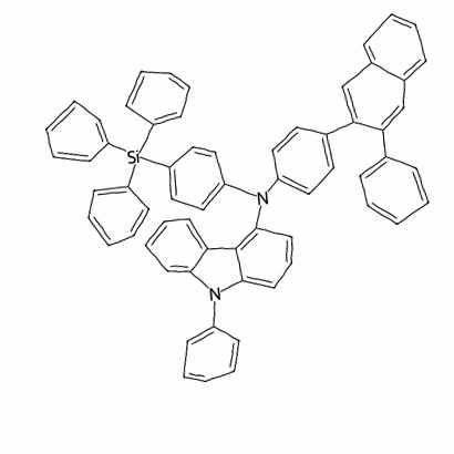 c1ccc(-c2cc3ccccc3cc2-c2ccc(N(c3ccc([Si](c4ccccc4)(c4ccccc4)c4ccccc4)cc3)c3cccc4c3c3ccccc3n4-c3ccccc3)cc2)cc1